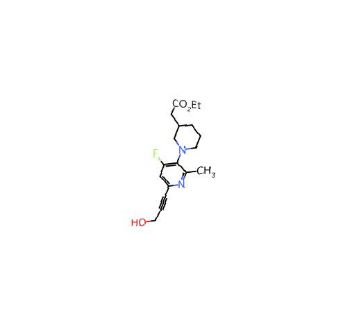 CCOC(=O)CC1CCCN(c2c(F)cc(C#CCO)nc2C)C1